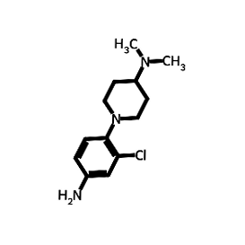 CN(C)C1CCN(c2ccc(N)cc2Cl)CC1